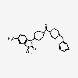 Cc1ccc2c(c1)n(C)c(=O)n2C1CCN(C(=O)C2CCN(Cc3ccncc3)CC2)CC1